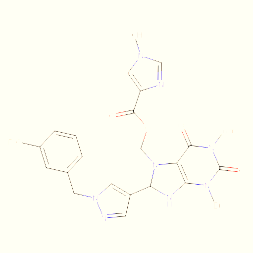 CCCn1c(=O)c2c(n(CC)c1=O)NC(c1cnn(Cc3cccc(C(F)(F)F)c3)c1)N2COC(=O)c1cn(C)cn1